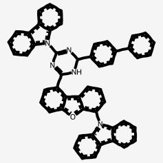 c1ccc(-c2ccc(C3N=C(n4c5ccccc5c5ccccc54)N=C(c4cccc5oc6c(-n7c8ccccc8c8ccccc87)cccc6c45)N3)cc2)cc1